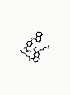 CCN(CCN(C)c1ncnc2cc(OCCOC)c(OC)cc12)C(=O)Nc1ccc(Oc2cccc3ccccc23)cc1